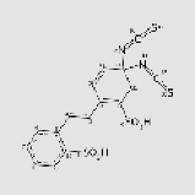 O=S(=O)(O)C1=C(C=Cc2ccccc2S(=O)(=O)O)C=CC(N=C=S)(N=C=S)C1